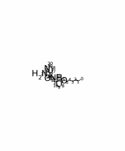 C/C=C/CCCOc1cccc(CNC(=O)c2ccc(C)nc2N)c1F